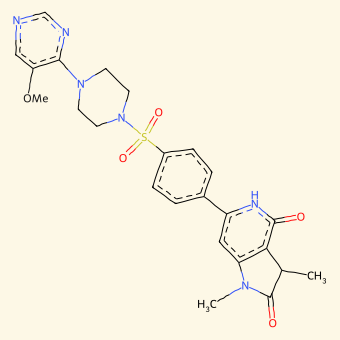 COc1cncnc1N1CCN(S(=O)(=O)c2ccc(-c3cc4c(c(=O)[nH]3)C(C)C(=O)N4C)cc2)CC1